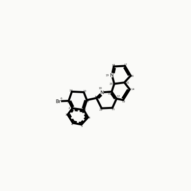 BrC1=c2ccccc2=C(C2=NC3=C(C=CC4C=CC=NC34)CC2)CC1